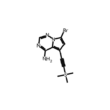 CS(C)(C)C#Cc1cc(Br)n2ncnc(N)c12